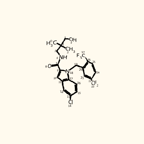 CC(C)(CO)CNC(=O)c1cc2cc(Cl)ccc2n1Cc1cc(C(F)(F)F)ccc1C(F)(F)F